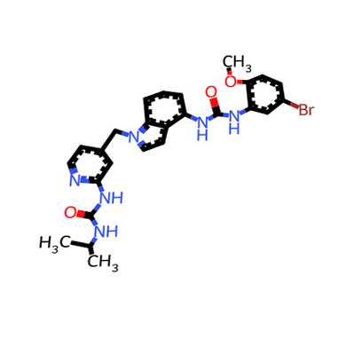 COc1ccc(Br)cc1NC(=O)Nc1cccc2c1ccn2Cc1ccnc(NC(=O)NC(C)C)c1